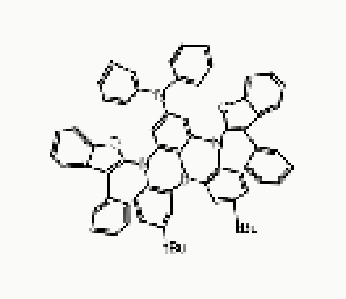 CC(C)(C)c1ccc2c(c1)B1c3cc(C(C)(C)C)ccc3N(c3oc4ccccc4c3-c3ccccc3)c3cc(N(c4ccccc4)c4ccccc4)cc(c31)N2c1oc2ccccc2c1-c1ccccc1